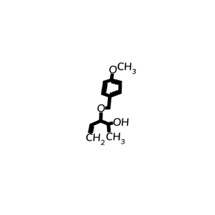 C=CC(OCc1ccc(OC)cc1)C(C)O